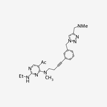 CCNc1ncc(C(C)=O)c(N(C)CCC#Cc2cccc(Cn3cc(CNC)nn3)c2)n1